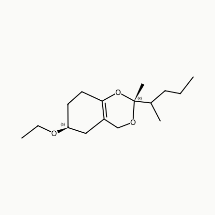 CCCC(C)[C@]1(C)OCC2=C(CC[C@H](OCC)C2)O1